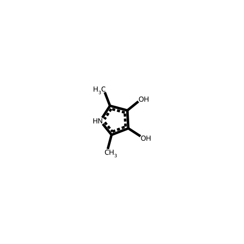 Cc1[nH]c(C)c(O)c1O